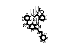 CC(=O)NC(C(=O)Nc1cccc(C(=O)c2ccc3c(/C=C/c4ccccc4)n[nH]c3c2)c1)c1ccccc1